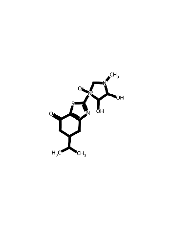 CC(C)C1CC(=O)c2sc([N+]3([O-])CN(C)C(O)C3O)nc2C1